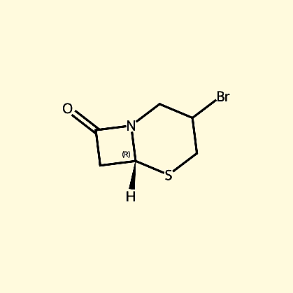 O=C1C[C@H]2SCC(Br)CN12